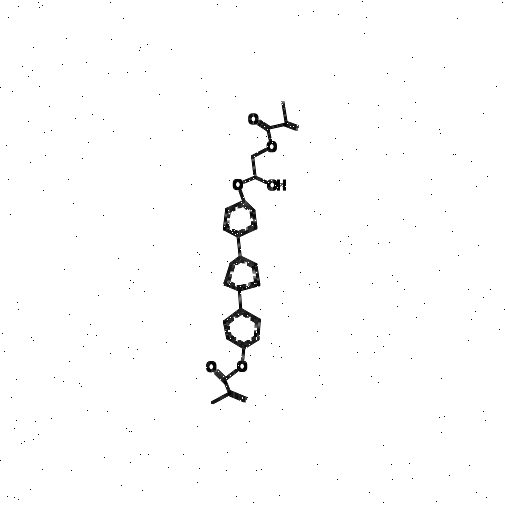 C=C(C)C(=O)OCC(O)Oc1ccc(-c2ccc(-c3ccc(OC(=O)C(=C)C)cc3)cc2)cc1